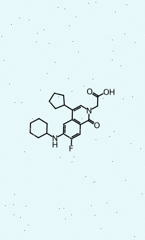 O=C(O)Cn1cc(C2CCCC2)c2cc(NC3CCCCC3)c(F)cc2c1=O